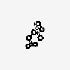 c1ccc(N(c2cccc(-c3cccc(-n4c5ccccc5c5ccccc54)c3)c2)c2cccc3c2oc2ncccc23)cc1